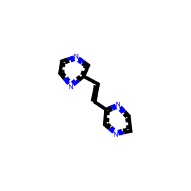 C(=Cc1cnccn1)c1cnccn1